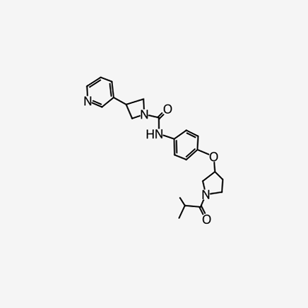 CC(C)C(=O)N1CCC(Oc2ccc(NC(=O)N3CC(c4cccnc4)C3)cc2)C1